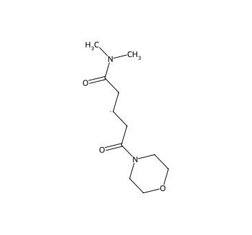 CN(C)C(=O)C[CH]CC(=O)N1CCOCC1